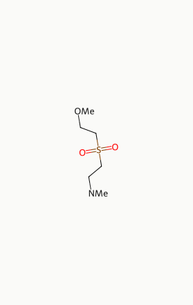 CNCCS(=O)(=O)CCOC